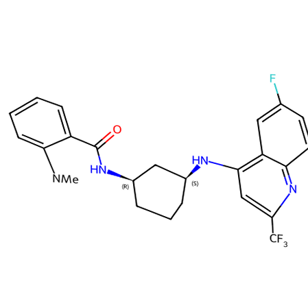 CNc1ccccc1C(=O)N[C@@H]1CCC[C@H](Nc2cc(C(F)(F)F)nc3ccc(F)cc23)C1